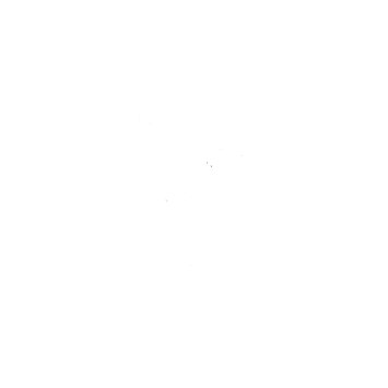 C=C(/C=C\C(=C/CC)CCNC(C)C)C(CCC)CC(C)C